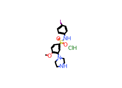 COc1ccc(S(=O)(=O)Nc2ccc(I)cc2)cc1N1CCNCC1.Cl